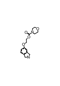 O=C(OCCOc1ccc2c(c1)C[N]C2)N1CCOCC1